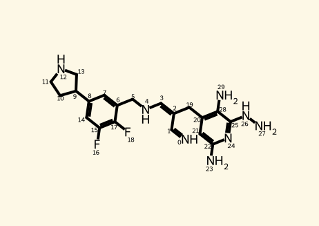 N=C/C(=C\NCc1cc(C2CCNC2)cc(F)c1F)Cc1cc(N)nc(NN)c1N